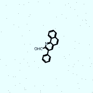 O=Cc1nc2c(ccc3ccccc32)cc1-c1ccccc1